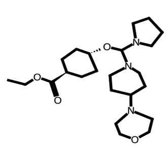 CCOC(=O)[C@H]1CC[C@H](OC(N2CCCC2)N2CCC(N3CCOCC3)CC2)CC1